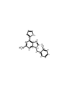 Nc1nc(-c2ccco2)c2ncn(Cc3ccccc3Cl)c2n1